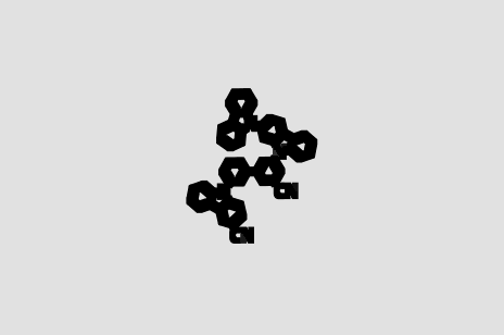 N#Cc1cc(-c2cccc(-n3c4ccccc4c4cc(C#N)ccc43)c2)cc(-n2c3ccccc3c3ccc(-n4c5ccccc5c5ccccc54)cc32)c1